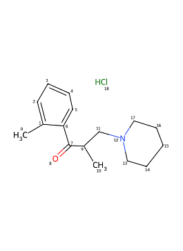 Cc1ccccc1C(=O)C(C)CN1CCCCC1.Cl